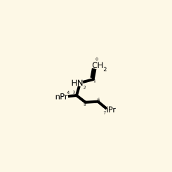 C=CNC(CCC)CCC(C)C